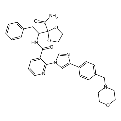 NC(=O)C1(C(Cc2ccccc2)NC(=O)c2cccnc2-n2cnc(-c3ccc(CN4CCOCC4)cc3)c2)OCCO1